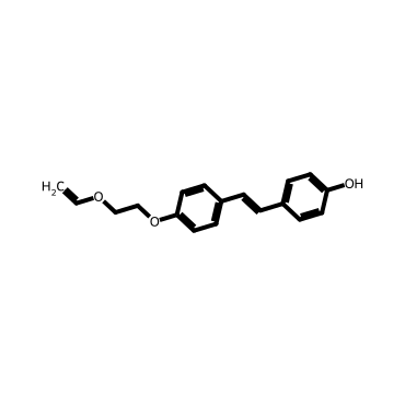 C=COCCOc1ccc(C=Cc2ccc(O)cc2)cc1